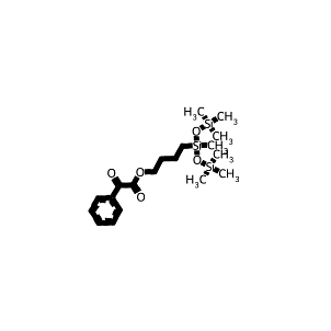 C[Si](C)(C)O[Si](C)(CCCCOC(=O)C(=O)c1ccccc1)O[Si](C)(C)C